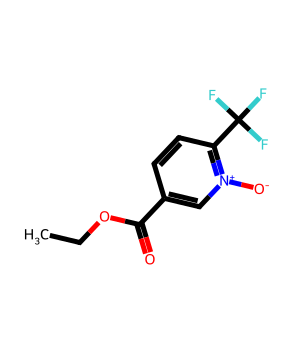 CCOC(=O)c1ccc(C(F)(F)F)[n+]([O-])c1